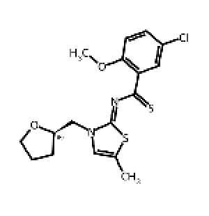 COc1ccc(Cl)cc1C(=S)N=c1sc(C)cn1C[C@H]1CCCO1